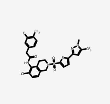 Cn1nc(-c2ccc(S(=O)(=O)N3CCc4c(ccc(Cl)c4NC(=O)Cc4ccc(C(F)(F)F)c(F)c4)C3)s2)cc1C(F)(F)F